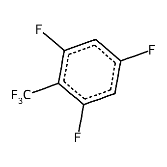 Fc1cc(F)c(C(F)(F)F)c(F)c1